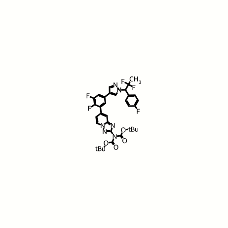 CC(C)(C)OC(=O)N(C(=O)OC(C)(C)C)c1nc2cc(-c3cc(-c4cnn(C(c5ccc(F)cc5)C(C)(F)F)c4)cc(F)c3F)ccn2n1